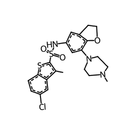 Cc1c(S(=O)(=O)Nc2cc3c(c(N4CCN(C)CC4)c2)OCC3)sc2ccc(Cl)cc12